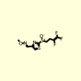 CO/N=C/c1csc([S+]([O-])CCC(F)=C(F)F)n1